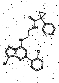 O=C(NCCNc1cc(-c2ccccc2Cl)nc2c(Br)cnn12)C1(c2ccccc2)CC1